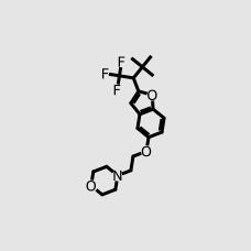 CC(C)(C)C(c1cc2cc(OCCN3CCOCC3)ccc2o1)C(F)(F)F